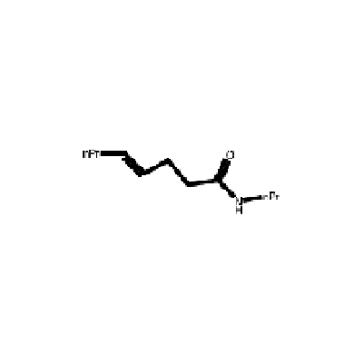 CCC/C=C/CCC(=O)NCCC